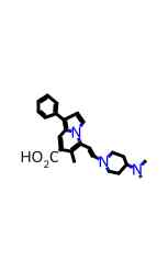 Cc1c(C(=O)O)cc2c(-c3ccccc3)ccn2c1C=CN1CCC(N(C)C)CC1